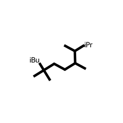 CCC(C)C(C)(C)CCC(C)C(C)C(C)C